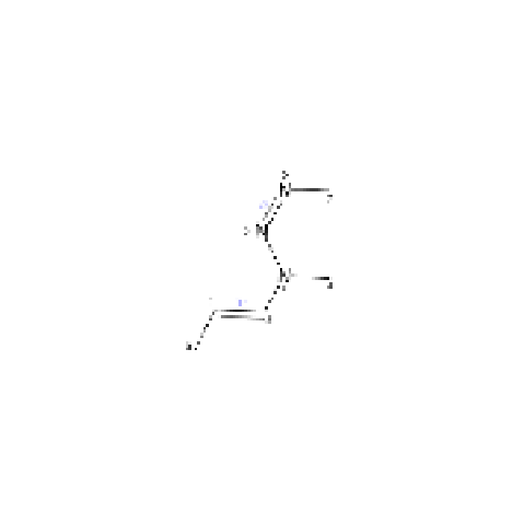 C/C=C/N(C)/N=N\C